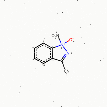 N#CC1=N[N+]([O-])([N+](=O)[O-])c2ccccc21